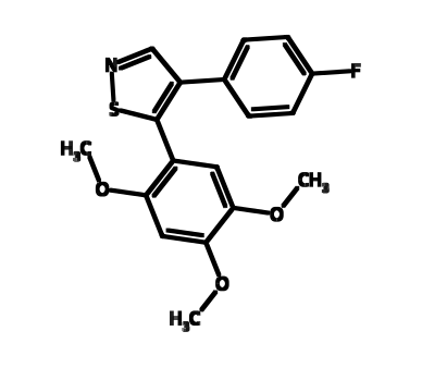 COc1cc(OC)c(-c2sncc2-c2ccc(F)cc2)cc1OC